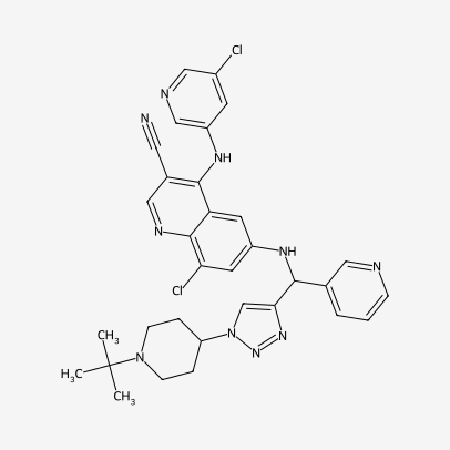 CC(C)(C)N1CCC(n2cc(C(Nc3cc(Cl)c4ncc(C#N)c(Nc5cncc(Cl)c5)c4c3)c3cccnc3)nn2)CC1